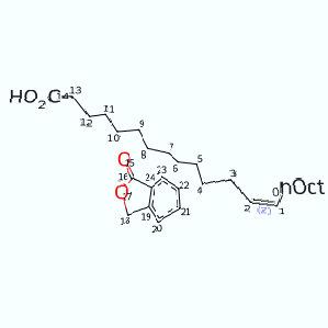 CCCCCCCC/C=C\CCCCCCCCCCCC(=O)O.O=C1OCc2ccccc21